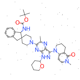 Cc1nc2c(N3CCCc4c3ccn(C)c4=O)nn(C3CCCCO3)c2nc1N1CCC2(CC1)Cc1ccccc1[C@H]2NC(=O)OC(C)(C)C